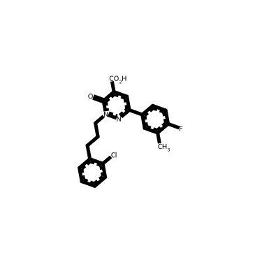 Cc1cc(-c2cc(C(=O)O)c(=O)n(CCCc3ccccc3Cl)n2)ccc1F